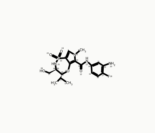 CC(C)[C@H]1Oc2c(cn(C)c2C(=O)Nc2ccc(F)c(N)c2)S(=O)(=O)N[C@@H]1CO